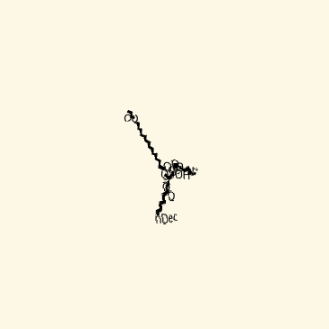 C=CC(=O)OCCCCCCCCCCCCCCCC(=O)O[C@H](COC(=O)CCCCCCCCCCCCCCC)COP(=O)(O)OCC[N+](C)(C)C